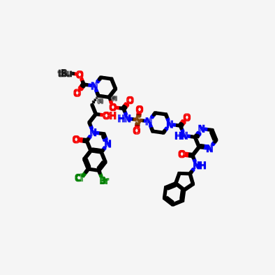 CC(C)(C)OC(=O)N1CCC[C@@H](OC(=O)NS(=O)(=O)N2CCN(C(=O)Nc3nccnc3C(=O)NC3Cc4ccccc4C3)CC2)[C@@H]1CC(O)Cn1cnc2cc(Br)c(Cl)cc2c1=O